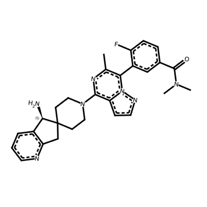 Cc1nc(N2CCC3(CC2)Cc2ncccc2[C@H]3N)c2ccnn2c1-c1cc(C(=O)N(C)C)ccc1F